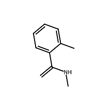 C=C(NC)c1ccccc1C